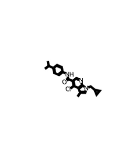 Cc1cn(CC2CC2)c2ncc(C(=O)Nc3ccc(C(C)C)cc3)c(Cl)c12